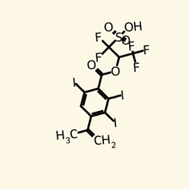 C=C(C)c1cc(I)c(C(=O)OC(C(F)(F)F)C(F)(F)S(=O)(=O)O)c(I)c1I